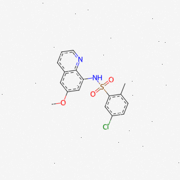 COc1cc(NS(=O)(=O)c2cc(Cl)ccc2C)c2ncccc2c1